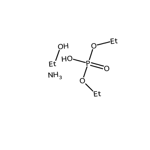 CCO.CCOP(=O)(O)OCC.N